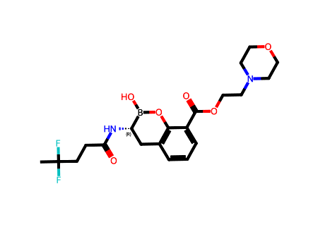 CC(F)(F)CCC(=O)N[C@H]1Cc2cccc(C(=O)OCCN3CCOCC3)c2OB1O